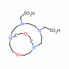 O=S(=O)(O)CN1CCN2CCOCCN(CCOCC2)CCN(CS(=O)(=O)O)CC1